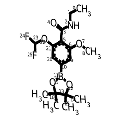 CCNC(=O)c1c(OC)cc(B2OC(C)(C)C(C)(C)O2)cc1OC(F)F